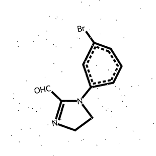 O=CC1=NCCN1c1cccc(Br)c1